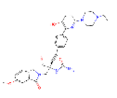 CCN1CCN(c2ccc(O)c(-c3ccc(C#C[C@](C=O)(CN4Cc5ccc(OC)cc5C4=O)NC(N)=O)cc3)n2)CC1